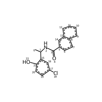 CC(NC(=O)c1ccc2ccccc2c1)c1cc(Cl)ccc1O